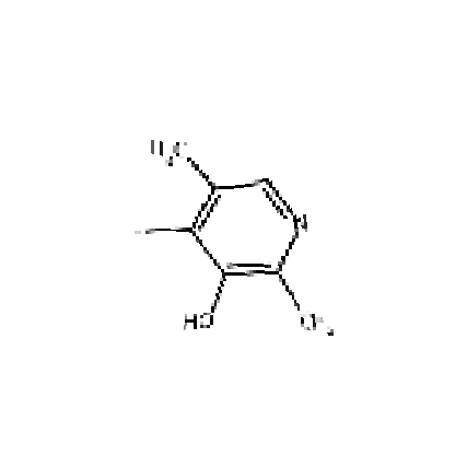 Cc1cnc(C)c(O)c1F